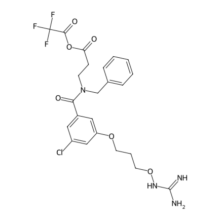 N=C(N)NOCCCOc1cc(Cl)cc(C(=O)N(CCC(=O)OC(=O)C(F)(F)F)Cc2ccccc2)c1